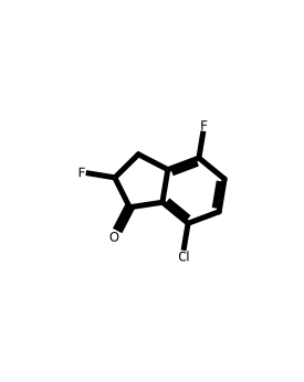 O=C1c2c(Cl)ccc(F)c2CC1F